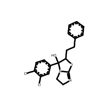 OC1(c2ccc(Cl)c(Cl)c2)C(CCc2ccccc2)SC2=NCCN21